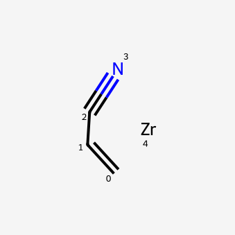 C=CC#N.[Zr]